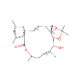 Cc1cc(C)c2c(c1)/C=C/C[C@@H]1OC(C)(C)OC1C(O)/C(F)=C\CC(C)OC2=O